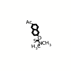 CC(=O)c1ccc2cc(OC(=S)N(C)C)ccc2c1